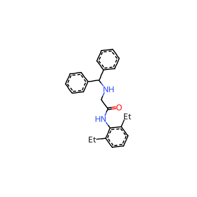 CCc1cccc(CC)c1NC(=O)CNC(c1ccccc1)c1ccccc1